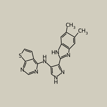 Cc1cc2nc(-c3n[nH]cc3Nc3ncnc4sccc34)[nH]c2cc1C